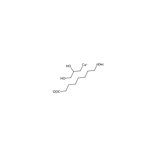 CCCCCCCCCCCCCCCCCC(=O)[O-].OCC(O)[CH2][Ca+]